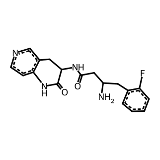 NC(CC(=O)NC1Cc2cnccc2NC1=O)Cc1ccccc1F